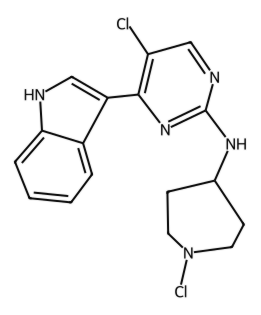 Clc1cnc(NC2CCN(Cl)CC2)nc1-c1c[nH]c2ccccc12